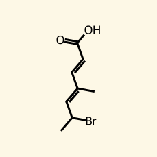 CC(/C=C/C(=O)O)=C\C(C)Br